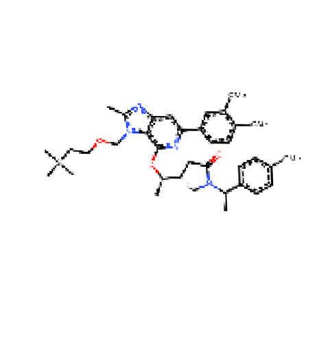 COc1ccc([C@@H](C)N2C[C@H]([C@@H](C)Oc3nc(-c4ccc(OC)c(OC)c4)cc4nc(C)n(COCC[Si](C)(C)C)c34)CC2=O)cc1